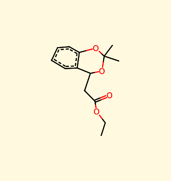 CCOC(=O)CC1OC(C)(C)Oc2ccccc21